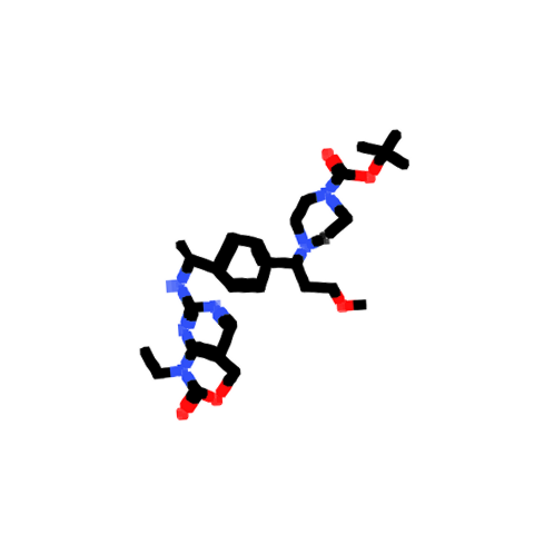 CCN1C(=O)OCc2cnc(N[C@@H](C)c3ccc(C(CCOC)N4CCN(C(=O)OC(C)(C)C)CC4)cc3)nc21